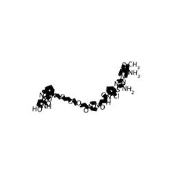 C[C@@H]1OCC2(CCN(c3cnc(Sc4cccc(NC(=O)CCC(=O)N5CCN(C(=O)CCOCCOCCOCCNc6cccc7cnn(C8CCC(O)NC8=O)c(=O)c67)CC5)c4Cl)c(N)n3)CC2)[C@@H]1N